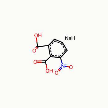 O=C(O)c1cccc([N+](=O)[O-])c1C(=O)O.[NaH]